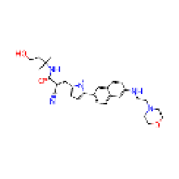 Cn1c(/C=C(\C#N)C(=O)NC(C)(C)CCO)ccc1-c1ccc2cc(NCCN3CCOCC3)ccc2c1